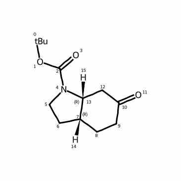 CC(C)(C)OC(=O)N1CC[C@H]2CCC(=O)C[C@H]21